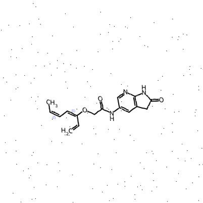 C=C/C(=C\C=C/C)OCC(=O)Nc1cnc2c(c1)CC(=O)N2